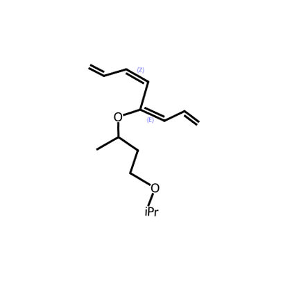 C=C/C=C\C(=C/C=C)OC(C)CCOC(C)C